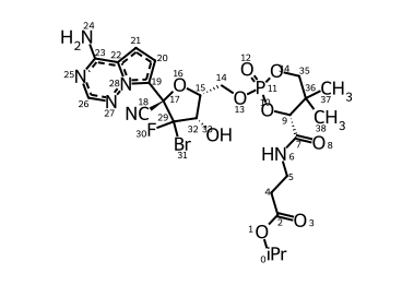 CC(C)OC(=O)CCNC(=O)[C@@H]1OP(=O)(OC[C@H]2O[C@@](C#N)(c3ccc4c(N)ncnn34)C(F)(Br)[C@H]2O)OCC1(C)C